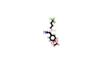 N#CC(BCCCC(F)(F)F)=C1CCC2(CC1)OCCO2